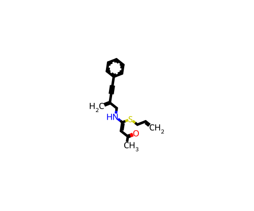 C=CCSC(=CC(C)=O)NCC(=C)C#Cc1ccccc1